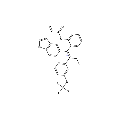 C=CC(=O)Oc1ccccc1/C(=C(\CC)c1cccc(OC(F)(F)F)c1)c1ccc2[nH]ncc2c1